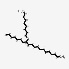 CCCCCCCCCCCCC(CCCCCCI)OCCCCCCCCC